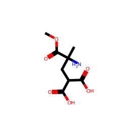 COC(=O)C(C)(N)CC(C(=O)O)C(=O)O